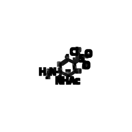 CC(=O)NC1(N)C=CC(S(=O)(=O)Cl)=CC1